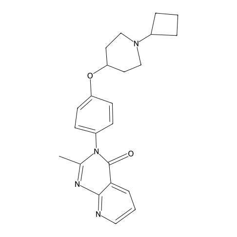 Cc1nc2ncccc2c(=O)n1-c1ccc(OC2CCN(C3CCC3)CC2)cc1